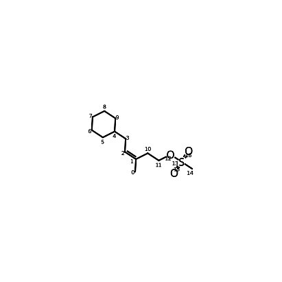 CC(=CCC1CCCCC1)CCOS(C)(=O)=O